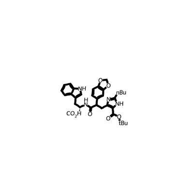 CCCCc1nc(CC(C(=O)N[C@@H](Cc2c[nH]c3ccccc23)C(=O)O)c2ccc3c(c2)OCO3)c(C(=O)OC(C)(C)C)[nH]1